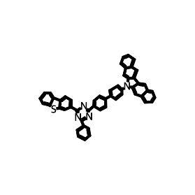 c1ccc(-c2nc(-c3ccc(-c4ccc(-n5c6cc7ccccc7cc6c6cc7ccccc7cc65)cc4)cc3)nc(-c3ccc4c(c3)sc3ccccc34)n2)cc1